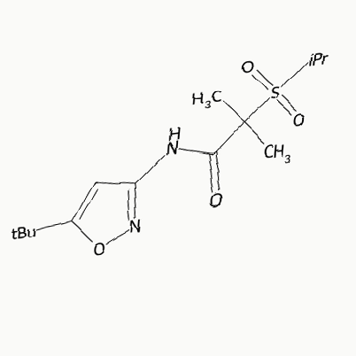 CC(C)S(=O)(=O)C(C)(C)C(=O)Nc1cc(C(C)(C)C)on1